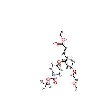 CCOC(=O)C=Cc1ccc(OCCOC)cc1OC1CCN(C(=O)OC(C)(C)C)CC1